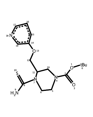 CC(C)(C)OC(=O)N1CCN(C(N)=S)C(COc2cccnc2)C1